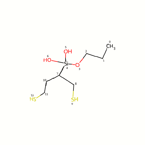 CCCO[Si](O)(O)C(CS)CCS